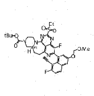 C#Cc1c(F)ccc2cc(OCOC)cc(-c3nc4c5c(nc(S(=O)(=O)CC)nc5c3F)N3CCN(C(=O)OC(C)(C)C)C[C@H]3CC4)c12